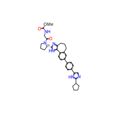 COC(=O)NCC(=O)N1CCC[C@H]1c1nc2c([nH]1)-c1ccc(-c3ccc(-c4cnc(C5CCCC5)[nH]4)cc3)cc1CCC2